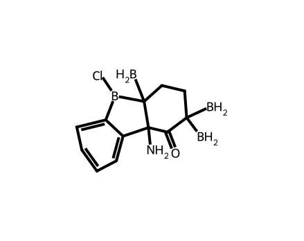 BC1(B)CCC2(B)B(Cl)c3ccccc3C2(N)C1=O